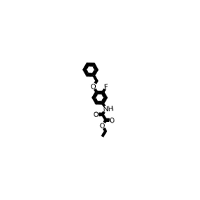 CCOC(=O)C(=O)Nc1ccc(OCc2ccccc2)c(F)c1